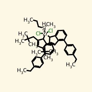 CCC[SiH](C)[Zr]([Cl])([Cl])([CH]1C(CC(C)(C)C)=Cc2c(-c3ccc(CC)cc3)cccc21)[CH]1C(CC(C)(C)C)=Cc2c(-c3ccc(CC)cc3)cccc21